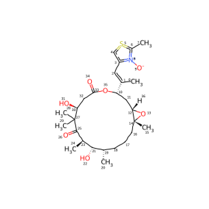 C/C(=C\c1csc(C)[n+]1[O-])[C@@H]1C[C@@H]2O[C@]2(C)CCC[C@H](C)[C@H](O)[C@@H](C)C(=O)C(C)(C)[C@@H](O)CC(=O)O1